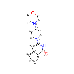 O=c1[nH]c(N2CCC(N3CCOCC3)CC2)cc2ccccc12